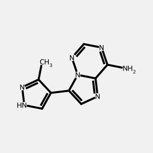 Cc1n[nH]cc1-c1cnc2c(N)ncnn12